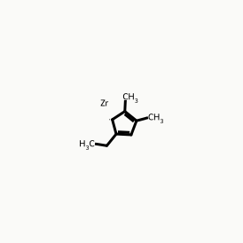 CCC1=CC(C)=C(C)[CH]1.[Zr]